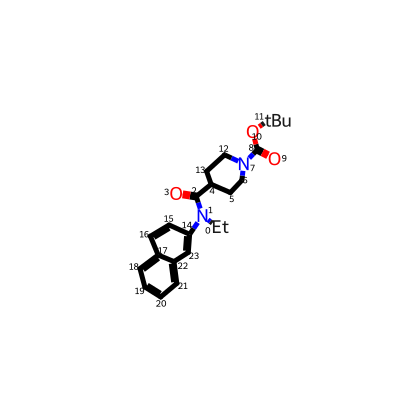 CCN(C(=O)C1CCN(C(=O)OC(C)(C)C)CC1)c1ccc2ccccc2c1